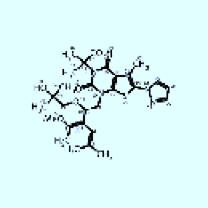 CO/C(C)=C(/C=C(C)C)[C@H](Cn1c(=O)n(C(C)(C)C(=O)O)c(=O)c2c(C)c(-n3cccn3)sc21)OCC(C)(C)O